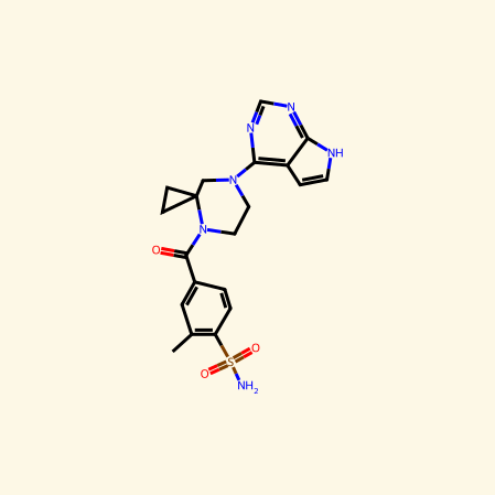 Cc1cc(C(=O)N2CCN(c3ncnc4[nH]ccc34)CC23CC3)ccc1S(N)(=O)=O